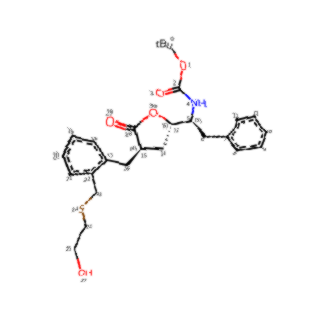 CC(C)(C)OC(=O)N[C@@H](Cc1ccccc1)[C@@H]1C[C@@H](Cc2ccccc2CSCCO)C(=O)O1